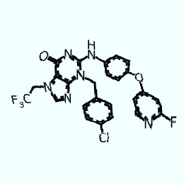 O=c1nc(Nc2ccc(Oc3ccnc(F)c3)cc2)n(Cc2ccc(Cl)cc2)c2ncn(CC(F)(F)F)c12